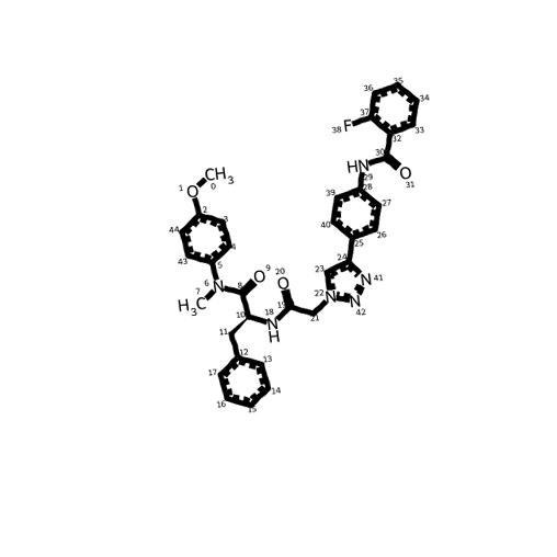 COc1ccc(N(C)C(=O)[C@H](Cc2ccccc2)NC(=O)Cn2cc(-c3ccc(NC(=O)c4ccccc4F)cc3)nn2)cc1